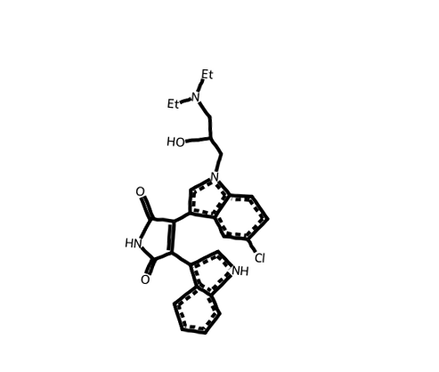 CCN(CC)CC(O)Cn1cc(C2=C(c3c[nH]c4ccccc34)C(=O)NC2=O)c2cc(Cl)ccc21